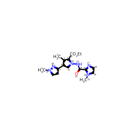 CCOC(=O)c1c(C)c(-c2ccn(C)n2)cn1NC(=O)c1nccn1C